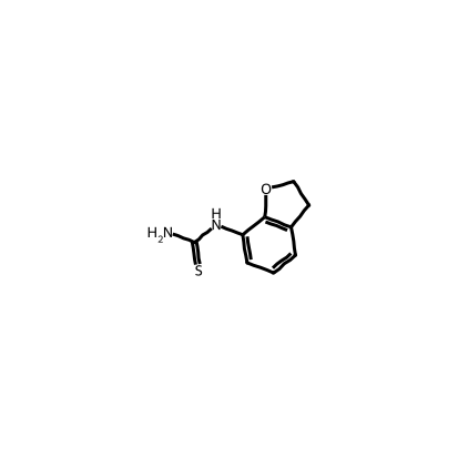 NC(=S)Nc1cccc2c1OCC2